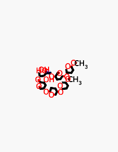 COC1CCC(OC2CCC(OC3CCC(OC(CO)C(O)/C(O)=C\OC4CCC(OC5CCC(OC)OC5)OC4)OC3)OC2)OC1